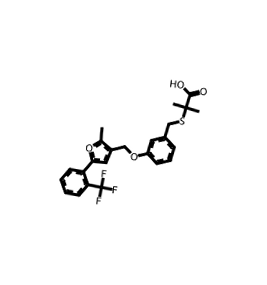 Cc1oc(-c2ccccc2C(F)(F)F)cc1COc1cccc(CSC(C)(C)C(=O)O)c1